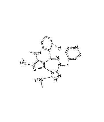 CNc1sc2c(c1NC)C(c1ccccc1Cl)=NN(Cc1ccncc1)c1nnc(NC)n1-2